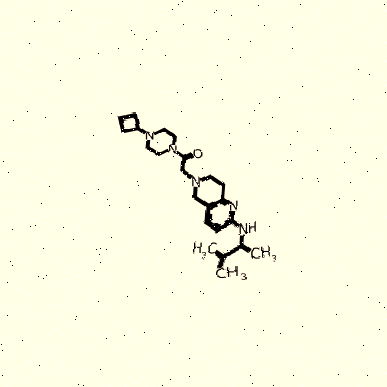 CC(C)C(C)Nc1ccc2c(n1)CCN(CC(=O)N1CCN(C3CCC3)CC1)C2